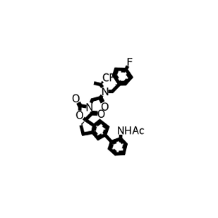 CC(=O)Nc1ccccc1-c1ccc2c(c1)CC[C@@]21OC(=O)N(CC(=O)N(Cc2ccc(F)cc2)[C@@H](C)C(F)(F)F)C1=O